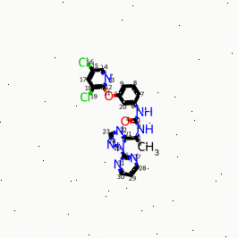 CC(NC(=O)Nc1cccc(Oc2ncc(Cl)cc2Cl)c1)c1ncnn1-c1ncccn1